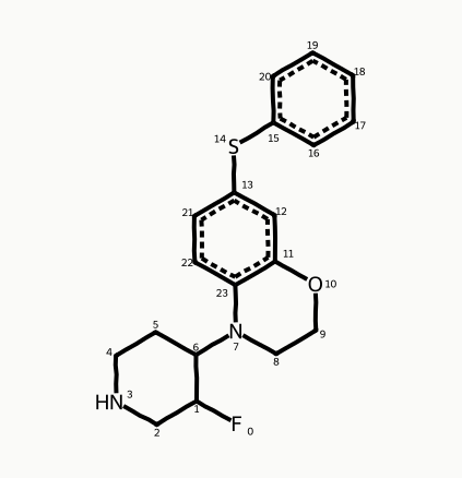 FC1CNCCC1N1CCOc2cc(Sc3ccccc3)ccc21